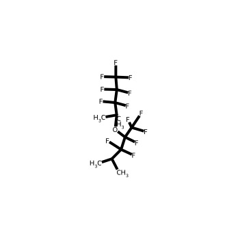 CC(C)C(F)(F)C(F)(OC(C)(C)C(F)(F)C(F)(F)C(F)(F)F)C(F)(F)F